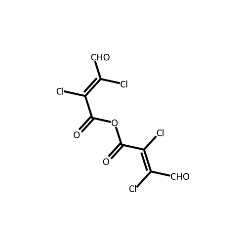 O=CC(Cl)=C(Cl)C(=O)OC(=O)C(Cl)=C(Cl)C=O